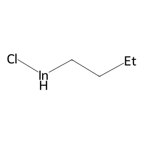 CCC[CH2][InH][Cl]